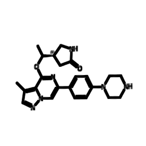 Cc1cnn2cc(-c3ccc(N4CCNCC4)cc3)nc(OC(C)[C@H]3CNC(=O)C3)c12